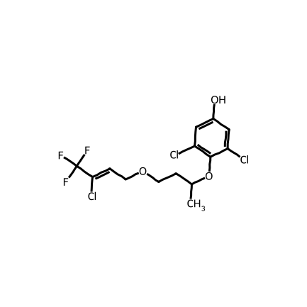 CC(CCOCC=C(Cl)C(F)(F)F)Oc1c(Cl)cc(O)cc1Cl